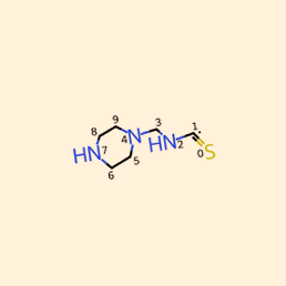 S=[C]NCN1CCNCC1